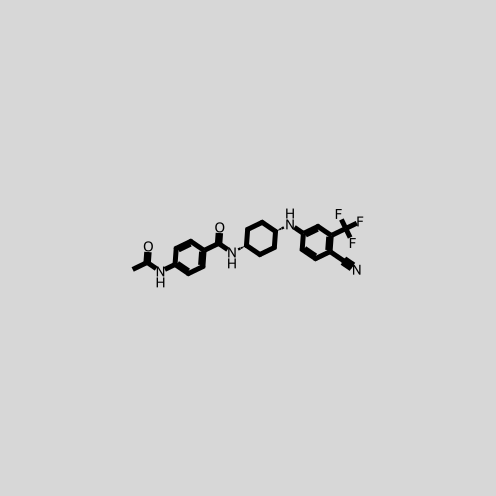 CC(=O)Nc1ccc(C(=O)N[C@H]2CC[C@@H](Nc3ccc(C#N)c(C(F)(F)F)c3)CC2)cc1